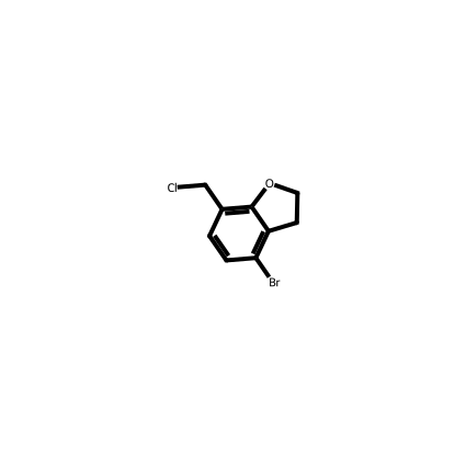 ClCc1ccc(Br)c2c1OCC2